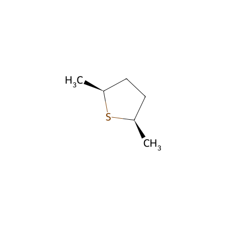 C[C@@H]1CC[C@H](C)S1